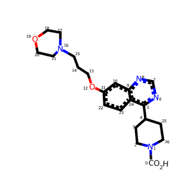 O=C(O)N1CCC(c2ncnc3cc(OCCCN4CCOCC4)ccc23)CC1